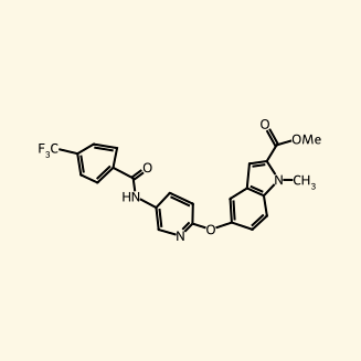 COC(=O)c1cc2cc(Oc3ccc(NC(=O)c4ccc(C(F)(F)F)cc4)cn3)ccc2n1C